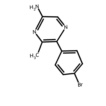 Cc1nc(N)cnc1-c1ccc(Br)cc1